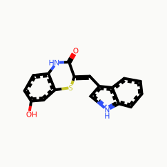 O=C1Nc2ccc(O)cc2SC1=Cc1c[nH]c2ccccc12